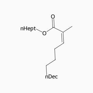 CCCCCCCCCCCCCC=C(C)C(=O)OCCCCCCC